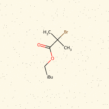 CCC(C)COC(=O)C(C)(C)Br